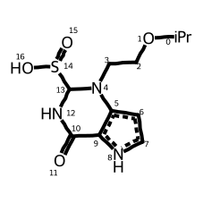 CC(C)OCCN1c2cc[nH]c2C(=O)NC1S(=O)O